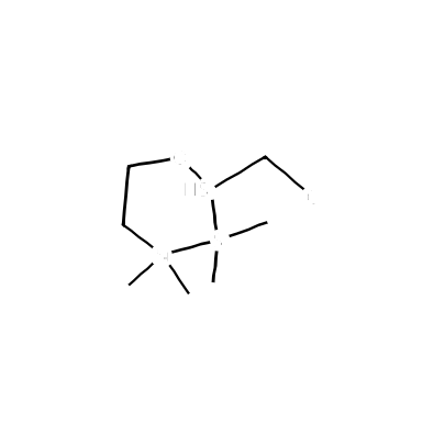 C[Si]1(C)CCO[SiH](CCl)[Si]1(C)C